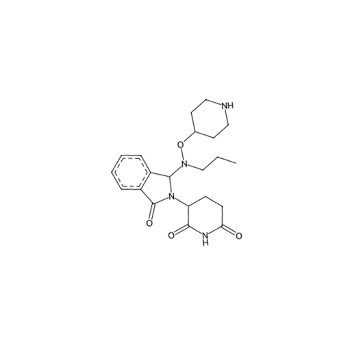 CCCN(OC1CCNCC1)C1c2ccccc2C(=O)N1C1CCC(=O)NC1=O